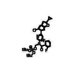 CC(C)(C)OP(=O)(OCN(C(=O)c1c(F)cccc1F)c1cnc(-c2cc3oc(C4CC4)cc3cc2Cl)cn1)OC(C)(C)C